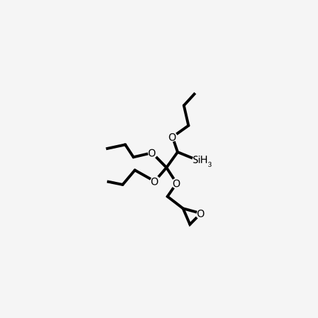 CCCOC([SiH3])C(OCCC)(OCCC)OCC1CO1